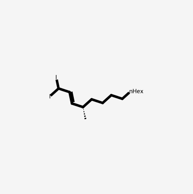 CCCCCCCCCC[C@H](C)/C=C/C(I)I